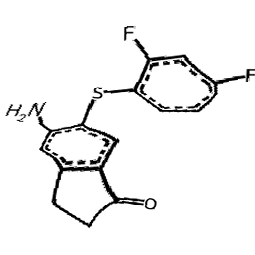 Nc1cc2c(cc1Sc1ccc(F)cc1F)C(=O)CC2